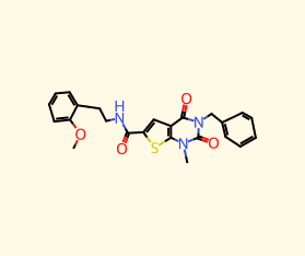 COc1ccccc1CCNC(=O)c1cc2c(=O)n(Cc3ccccc3)c(=O)n(C)c2s1